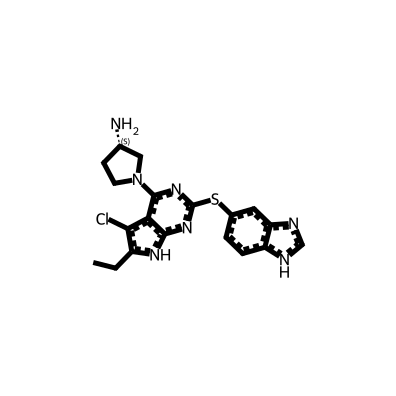 CCc1[nH]c2nc(Sc3ccc4[nH]cnc4c3)nc(N3CC[C@H](N)C3)c2c1Cl